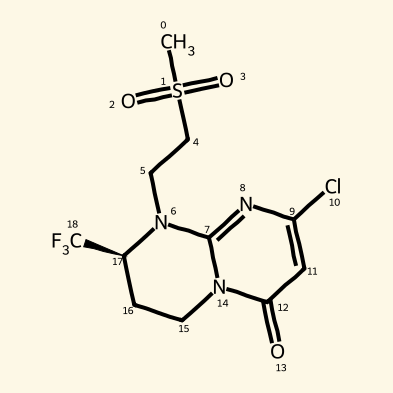 CS(=O)(=O)CCN1c2nc(Cl)cc(=O)n2CC[C@H]1C(F)(F)F